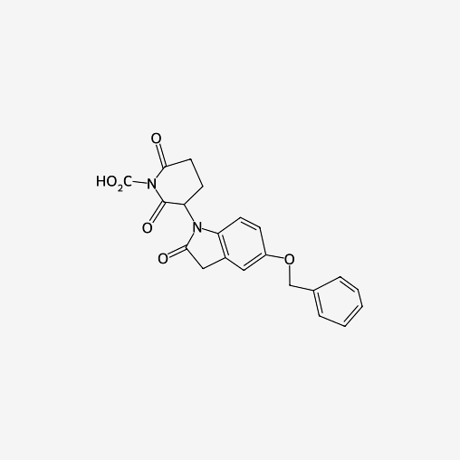 O=C(O)N1C(=O)CCC(N2C(=O)Cc3cc(OCc4ccccc4)ccc32)C1=O